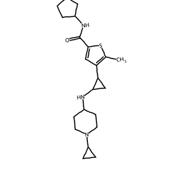 Cc1sc(C(=O)NC2CCCC2)cc1C1CC1NC1CCN(C2CC2)CC1